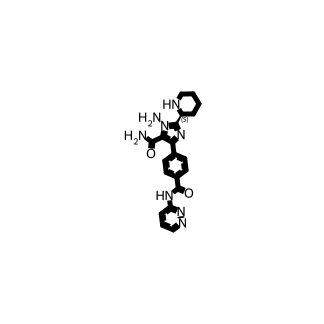 NC(=O)c1c(-c2ccc(C(=O)Nc3cccnn3)cc2)nc([C@@H]2CCCCN2)n1N